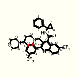 O=C(NC1(c2ccccc2)CC1)c1c(CN2CCC(N3CCOCC3)CC2)c(-c2cccc(C(F)(F)F)c2)nc2ccc(C(F)(F)F)cc12